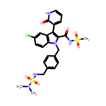 CN(C)S(=O)(=O)NCc1ccc(Cn2c(C(=O)NS(C)(=O)=O)c(-c3ccc[nH]c3=O)c3cc(Cl)ccc32)cc1